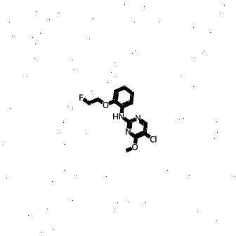 COc1nc(NC2=CC[CH]C=C2OCCF)ncc1Cl